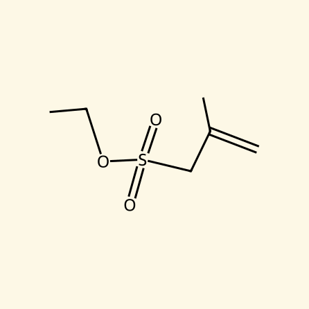 C=C(C)CS(=O)(=O)OCC